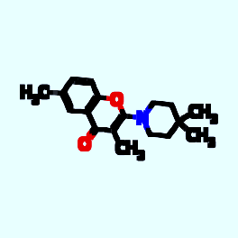 Cc1ccc2oc(N3CCC(C)(C)CC3)c(C)c(=O)c2c1